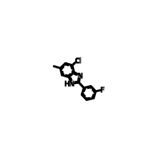 Cc1cc(Cl)c2nc(-c3cccc(F)c3)[nH]c2c1